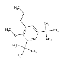 CCCc1cc(C(C)(C)C)cc(C(C)(C)C)c1SC